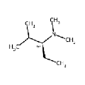 CC[C@@H](C(C)C)N(C)C